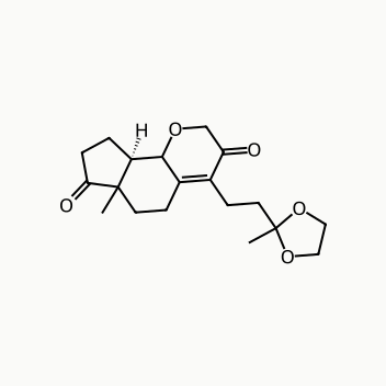 CC1(CCC2=C3CCC4(C)C(=O)CC[C@H]4C3OCC2=O)OCCO1